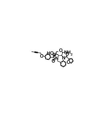 CC#CCOc1ccc(S(=O)(=O)N2Cc3ccccc3N(C(=O)c3ccco3)C(C(N)=O)C2C(=O)O)cc1